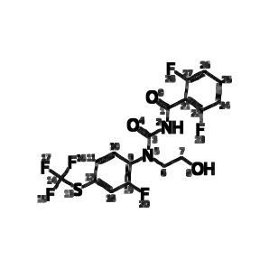 O=C(NC(=O)N(CCO)c1ccc(SC(F)(F)F)cc1F)c1c(F)cccc1F